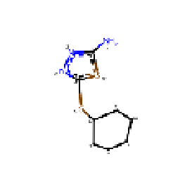 Nc1nnc(SC2CCCCC2)s1